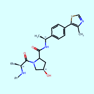 Cc1ncsc1-c1ccc([C@H](C)NC(=O)C2C[C@@H](O)CN2C(=O)[C@@H](NC(C)C)C(C)(C)C)cc1